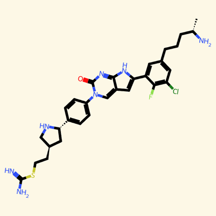 C[C@H](N)CCCc1cc(Cl)c(F)c(-c2cc3cn(-c4ccc([C@@H]5C[C@@H](CCSC(=N)N)CN5)cc4)c(=O)nc3[nH]2)c1